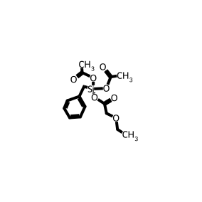 CCOCC(=O)O[Si](Cc1ccccc1)(OC(C)=O)OC(C)=O